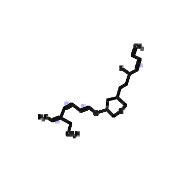 C=C/C=C\C(F)CCC1CCCC(O/C=C/C=C\C(=C/C)CC(=O)O)C1